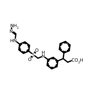 NN=CNc1ccc(S(=O)(=O)CNc2cccc(C(CC(=O)O)c3ccccc3)c2)cc1